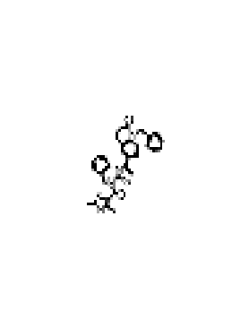 Cc1nc(C)c(C(=O)N(Cc2ccccc2)c2nc(-c3ccc4c(c3)CCC(=O)N4Cc3ccccc3)cs2)s1